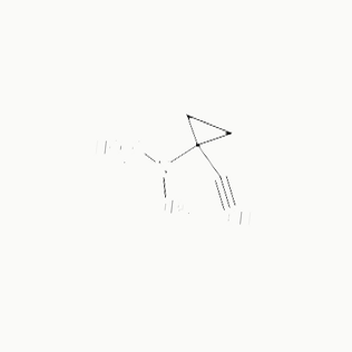 C#CC1(N(C(=O)O)C(C)(C)C)CC1